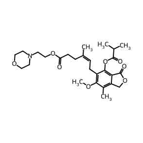 COc1c(C)c2c(c(OC(=O)C(C)C)c1CC=C(C)CCC(=O)OCCN1CCOCC1)C(=O)OC2